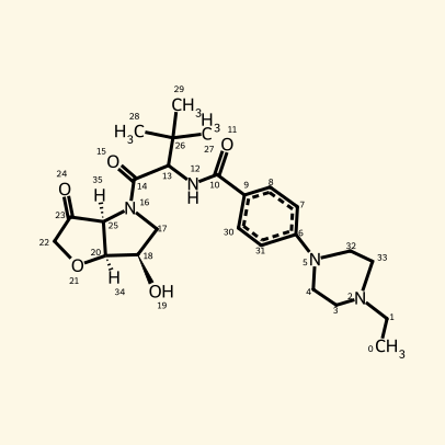 CCN1CCN(c2ccc(C(=O)NC(C(=O)N3C[C@@H](O)[C@H]4OCC(=O)[C@H]43)C(C)(C)C)cc2)CC1